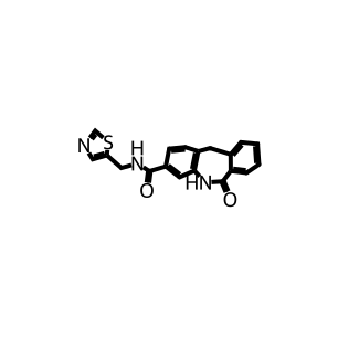 O=C(NCc1cncs1)c1ccc2c(c1)NC(=O)c1ccccc1C2